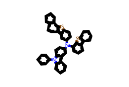 c1ccc(-n2c3ccccc3c3cc(N(c4ccc5sc6c7ccccc7ccc6c5c4)c4cccc5c4sc4ccccc45)ccc32)cc1